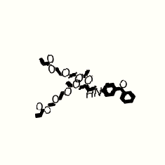 C=CC(=O)OCCOCCOC(C)OCC(CCNc1ccc(C(=O)c2ccccc2)cc1)OC(C)OCCOCCOC(=O)C=C